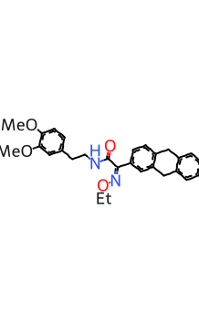 CCON=C(C(=O)NCCc1ccc(OC)c(OC)c1)c1ccc2c(c1)Cc1ccccc1C2